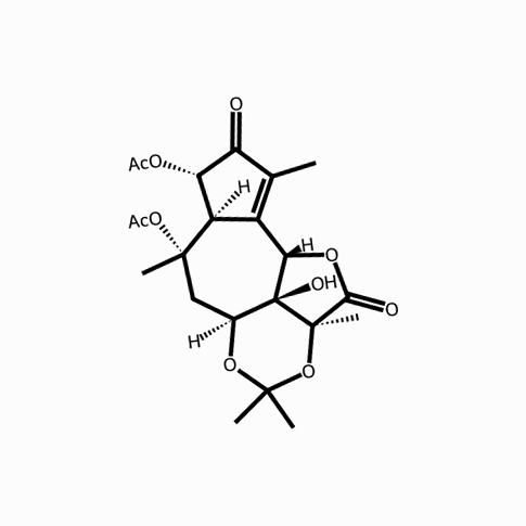 CC(=O)O[C@@H]1C(=O)C(C)=C2[C@H]1[C@@](C)(OC(C)=O)C[C@@H]1OC(C)(C)O[C@]3(C)C(=O)O[C@@H]2[C@@]13O